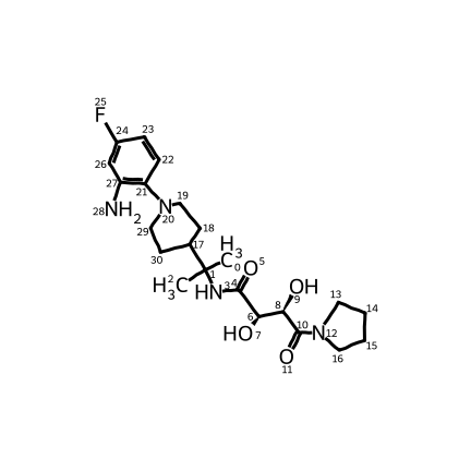 CC(C)(NC(=O)[C@H](O)[C@@H](O)C(=O)N1CCCC1)C1CCN(c2ccc(F)cc2N)CC1